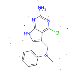 CN(Cc1c[nH]c2nc(N)nc(Cl)c12)c1ccccc1